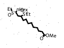 CCCCCCC(CC(CCCCCCCCC(=O)OC)[S+]([O-])CC)[S+]([O-])CC